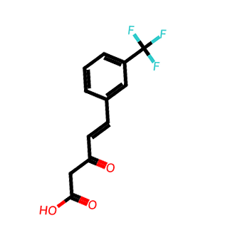 O=C(O)CC(=O)C=Cc1cccc(C(F)(F)F)c1